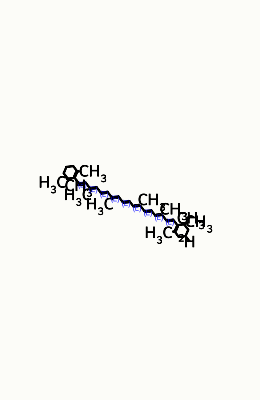 [2H]C1CC(C)=C(/C=C/C(C)=C/C=C/C(C)=C/C=C/C=C(C)/C=C/C=C(C)/C=C/C2=C(C)CCCC2(C)C)C(C)(C)C1